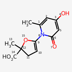 Cc1cc(O)cc(=O)n1C1=CCC(C)(C(=O)O)O1